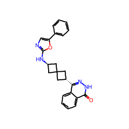 O=c1[nH]nc([C@H]2CC3(C[C@H](Nc4ncc(-c5ccccc5)o4)C3)C2)c2ccccc12